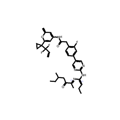 C=CC(F)(F)C1(C2=CC(NC(=O)Cc3ccc(-c4cnc(NC(=C/CC)/N=C(\C)C(=O)CC(C)CC)nc4)cc3F)=CC(=C)O2)CC1